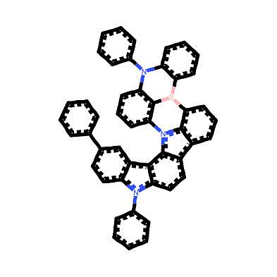 c1ccc(-c2ccc3c(c2)c2c(ccc4c5cccc6c5n(c42)-c2cccc4c2B6c2ccccc2N4c2ccccc2)n3-c2ccccc2)cc1